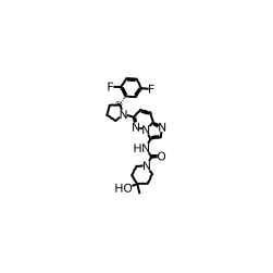 CC1(O)CCN(C(=O)Nc2cnc3ccc(N4CCC[C@@H]4c4cc(F)ccc4F)nn23)CC1